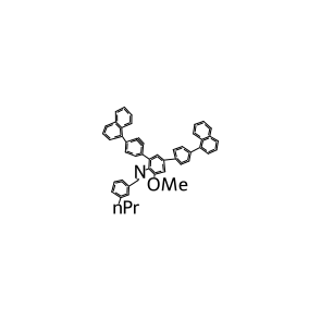 CCCc1cccc(/C=N/c2c(OC)cc(-c3ccc(-c4cccc5ccccc45)cc3)cc2-c2c#cc(-c3cccc4ccccc34)cc2)c1